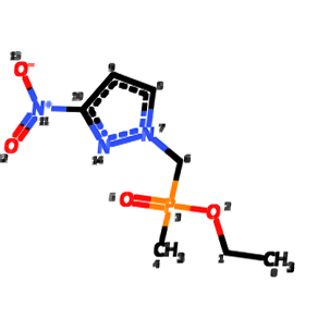 CCOP(C)(=O)Cn1ccc([N+](=O)[O-])n1